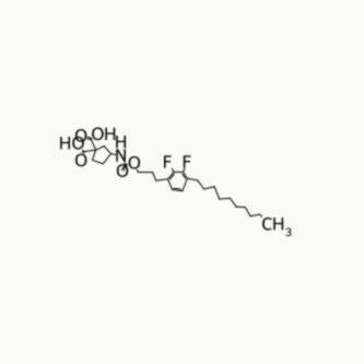 CCCCCCCCCCc1ccc(CCCOC(=O)NC2CCC(C(=O)O)(C(=O)O)C2)c(F)c1F